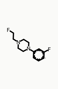 FCCN1CCN(c2cc[c]c(F)c2)CC1